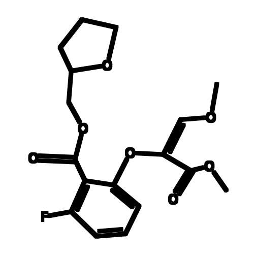 COC=C(Oc1cccc(F)c1C(=O)OCC1CCCO1)C(=O)OC